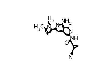 Cc1ncc(-c2cc3cc(NC(=O)C4CC4C#N)ncc3c(N)n2)n1C